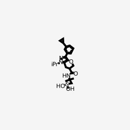 CC(C)n1nc(-c2cccc(C3CC3)c2)c2c1CC(C(=O)NC1(C)CS(O)(O)C1)CO2